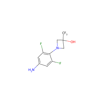 Nc1cc(F)c(N2CC(O)(C(F)(F)F)C2)c(F)c1